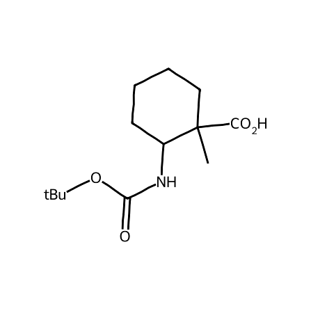 CC(C)(C)OC(=O)NC1CCCCC1(C)C(=O)O